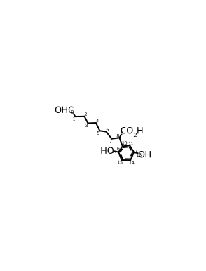 O=CCCCCCCCC(C(=O)O)c1cc(O)ccc1O